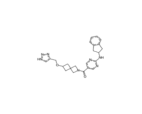 O=C(c1cnc(NC2Cc3ccccc3C2)nc1)N1CC2(CC(OCc3c[nH]nn3)C2)C1